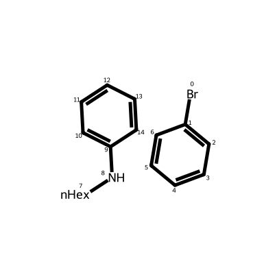 Brc1ccccc1.CCCCCCNc1ccccc1